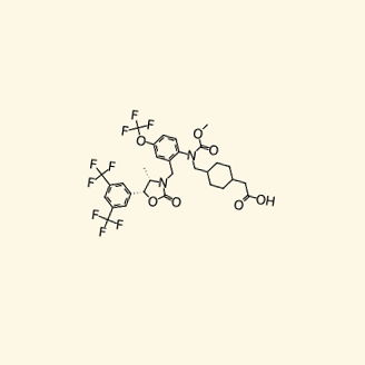 COC(=O)N(CC1CCC(CC(=O)O)CC1)c1ccc(OC(F)(F)F)cc1CN1C(=O)O[C@H](c2cc(C(F)(F)F)cc(C(F)(F)F)c2)[C@@H]1C